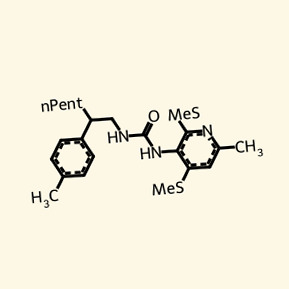 CCCCCC(CNC(=O)Nc1c(SC)cc(C)nc1SC)c1ccc(C)cc1